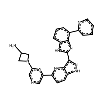 NC1CN(c2cncc(-c3ccc4[nH]nc(-c5nc6c(-c7ccccn7)cccc6[nH]5)c4n3)n2)C1